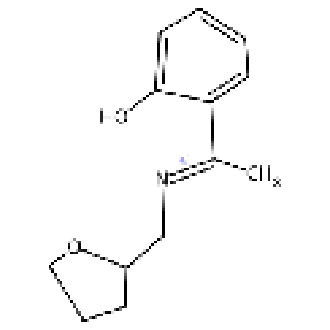 C/C(=N\CC1CCCO1)c1ccccc1O